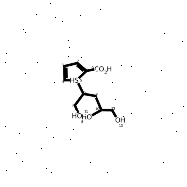 O=C(O)C1=CC=C[SH]1C(CO)CC(O)CO